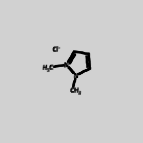 Cn1ccc[n+]1C.[Cl-]